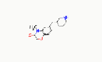 CN1C(=O)COc2ccc(CC3CCCNC3)cc21